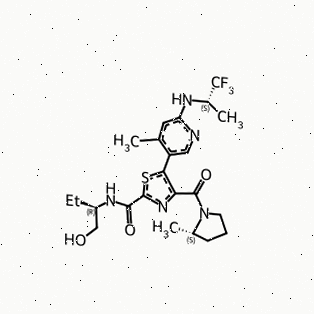 CC[C@H](CO)NC(=O)c1nc(C(=O)N2CCC[C@@H]2C)c(-c2cnc(N[C@@H](C)C(F)(F)F)cc2C)s1